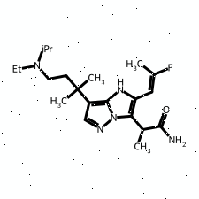 CCN(CCC(C)(C)c1cnn2c(C(C)C(N)=O)c(/C=C(\C)F)[nH]c12)C(C)C